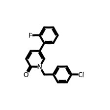 O=c1ccc(-c2ccccc2F)cn1Cc1ccc(Cl)cc1